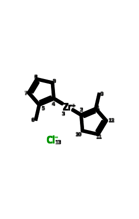 CC1=[C]([Zr+][C]2=C(C)C=CC2)CC=C1.[Cl-]